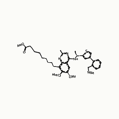 CNCc1ccccc1-c1csc([C@H](C)Nc2nc(C)nc3c(CCCCCCCCC(=O)OC)c(OC)c(OC)cc23)c1